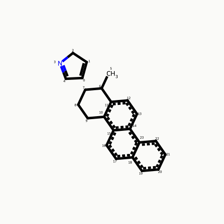 C1=CCN=C1.CC1CCCc2c1ccc1c2ccc2ccccc21